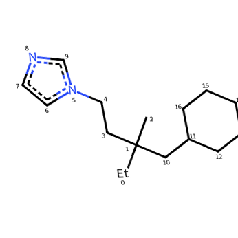 CCC(C)(CCn1ccnc1)CC1CCCCC1